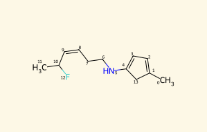 CC1=CC=C(NCC/C=C\C(C)F)C1